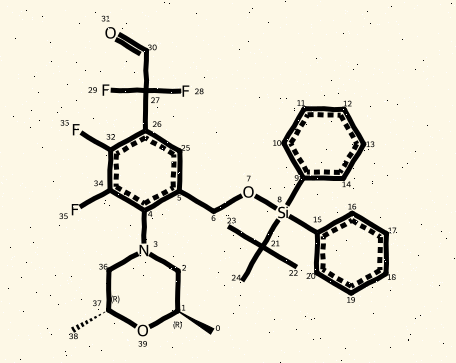 C[C@@H]1CN(c2c(CO[Si](c3ccccc3)(c3ccccc3)C(C)(C)C)cc(C(F)(F)C=O)c(F)c2F)C[C@@H](C)O1